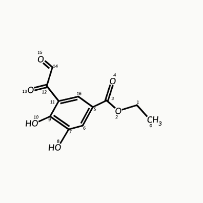 CCOC(=O)c1cc(O)c(O)c(C(=O)C=O)c1